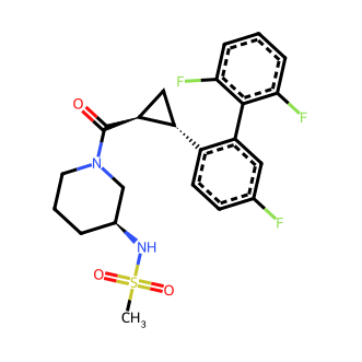 CS(=O)(=O)N[C@H]1CCCN(C(=O)[C@H]2C[C@@H]2c2ccc(F)cc2-c2c(F)cccc2F)C1